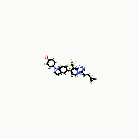 OC1CCC(n2ccc3cc(-c4ccn5c(CCC6CC6)nnc5c4C(F)(F)F)ccc32)CC1